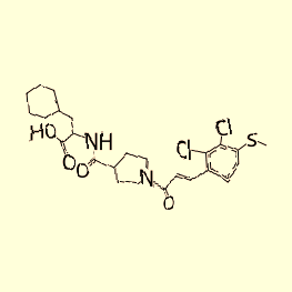 CSc1ccc(/C=C/C(=O)N2CCC(C(=O)NC(CC3CCCCC3)C(=O)O)CC2)c(Cl)c1Cl